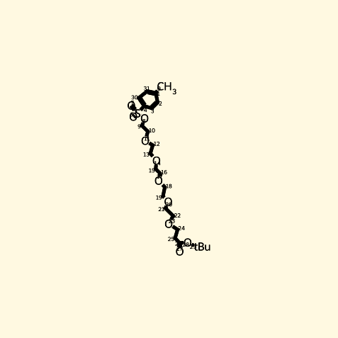 Cc1ccc(S(=O)(=O)OCCOCCOCCOCCOCCOCCC(=O)OC(C)(C)C)cc1